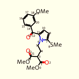 COC(=O)C(CCn1c(SC)ccc1C(=O)c1cccc(OC)c1)C(=O)OC